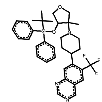 CC1(N2CCC(c3cc4n[c]ncc4cc3C(F)(F)F)CC2)COCC1O[Si](c1ccccc1)(c1ccccc1)C(C)(C)C